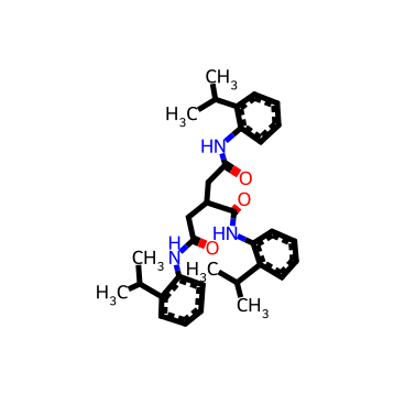 CC(C)c1ccccc1NC(=O)CC(CC(=O)Nc1ccccc1C(C)C)C(=O)Nc1ccccc1C(C)C